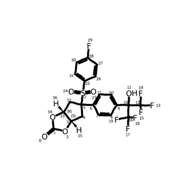 O=C1O[C@H]2CC(c3ccc(C(O)(C(F)(F)F)C(F)(F)F)cc3)(S(=O)(=O)c3ccc(F)cc3)C[C@H]2O1